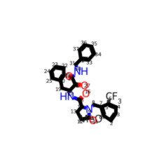 COc1cccc(C(F)(F)F)c1CN1C(=O)CCC1C(=O)NC(Cc1ccccc1)C(=O)C(=O)NCc1ccccc1